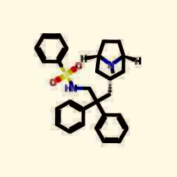 CN1[C@@H]2CC[C@H]1C[C@@H](CC(CNS(=O)(=O)c1ccccc1)(c1ccccc1)c1ccccc1)C2